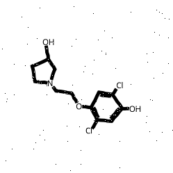 Oc1cc(Cl)c(OCCN2CCC(O)C2)cc1Cl